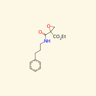 CCOC(=O)C1(C(=O)NCCCc2ccccc2)CO1